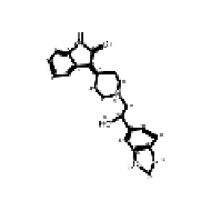 O=C1Nc2ccccc2C1=C1CCN(CC(O)c2ccc3c(c2)OCO3)CC1